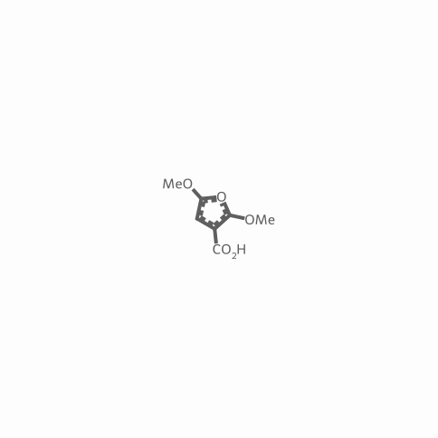 COc1cc(C(=O)O)c(OC)o1